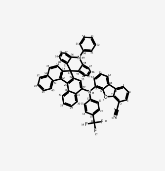 N#Cc1cccc2c1oc1c(N(c3ccc(C(F)(F)F)cc3)c3cc4c(c5ccccc35)-c3c(ccc5ccccc35)C43c4ccccc4N(c4ccccc4)c4ccccc43)cccc12